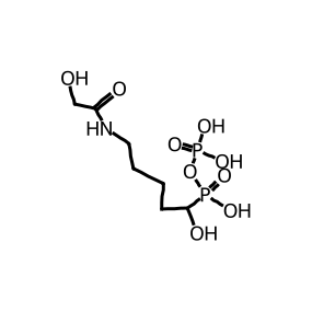 O=C(CO)NCCCCC(O)P(=O)(O)OP(=O)(O)O